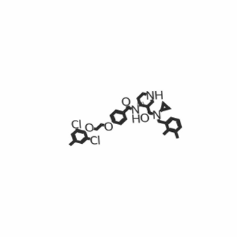 Cc1cc(Cl)c(OCCOc2ccc(C(=O)N[C@@H]3CCNCC3C(=O)N(Cc3cccc(C)c3C)C3CC3)cc2)c(Cl)c1